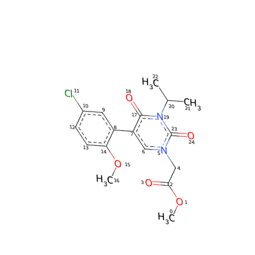 COC(=O)Cn1cc(-c2cc(Cl)ccc2OC)c(=O)n(C(C)C)c1=O